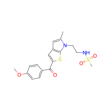 COc1ccc(C(=O)c2cc3cc(C)n(CCNS(C)(=O)=O)c3s2)cc1